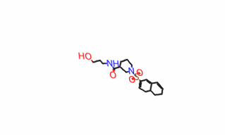 O=C(NCCCO)C1CCCN(S(=O)(=O)C2=CCC3CCC=CC3=C2)C1